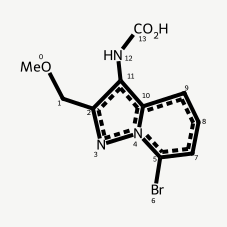 COCc1nn2c(Br)cccc2c1NC(=O)O